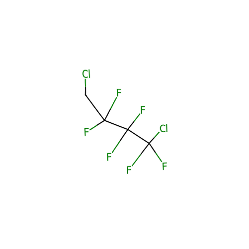 FC(F)(Cl)C(F)(F)C(F)(F)CCl